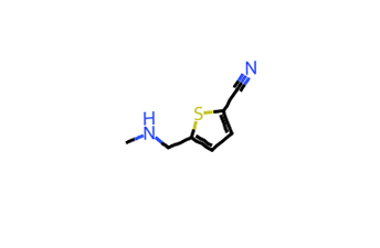 CNCc1ccc(C#N)s1